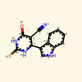 N#Cc1c(-c2c[nH]c3ccccc23)[nH]c(=S)[nH]c1=O